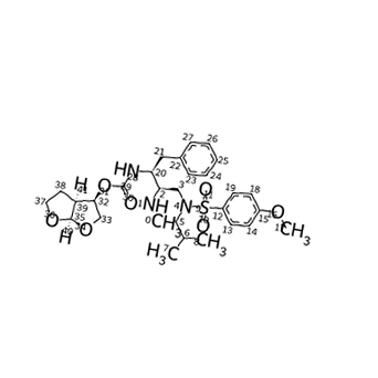 CN[C@H](CN(CC(C)C)S(=O)(=O)c1ccc(OC)cc1)[C@H](Cc1ccccc1)NC(=O)O[C@H]1CO[C@H]2OCC[C@H]21